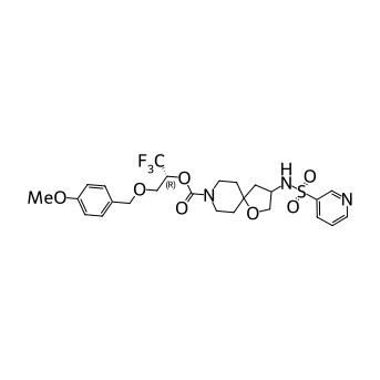 COc1ccc(COC[C@@H](OC(=O)N2CCC3(CC2)CC(NS(=O)(=O)c2cccnc2)CO3)C(F)(F)F)cc1